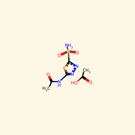 CC(=O)Nc1nnc(S(N)(=O)=O)s1.CC(=O)O